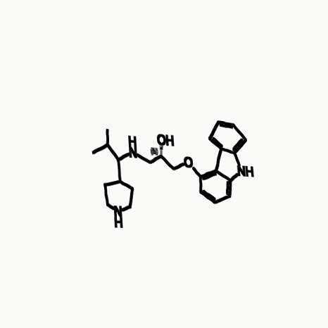 CC(C)C(NC[C@H](O)COc1cccc2[nH]c3ccccc3c12)C1CCNCC1